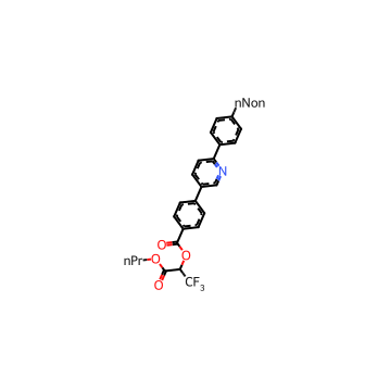 CCCCCCCCCc1ccc(-c2ccc(-c3ccc(C(=O)OC(C(=O)OCCC)C(F)(F)F)cc3)cn2)cc1